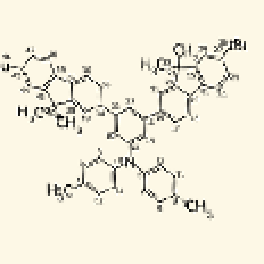 Cc1ccc(N(c2ccc(C)cc2)c2cc(-c3ccc4c(c3)C(C)(C)c3cc(C(C)(C)C)ccc3-4)cc(-c3ccc4c(c3)C(C)(C)c3cc(C(C)(C)C)ccc3-4)c2)cc1